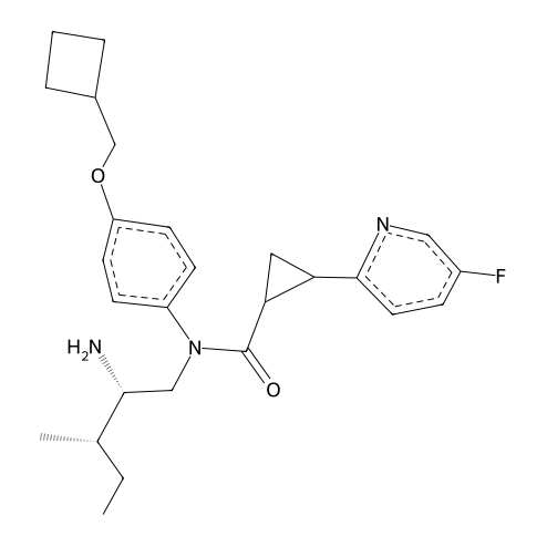 CC[C@H](C)[C@H](N)CN(C(=O)C1CC1c1ccc(F)cn1)c1ccc(OCC2CCC2)cc1